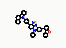 c1ccc(N(c2ccc(-c3cccc4oc5ccccc5c34)cc2)c2ccc(-c3ccc(-n4c5ccccc5c5ccc6ccccc6c54)cc3)c3nsnc23)cc1